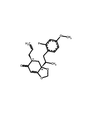 C=CC[C@H]1C[C@]2(C(C)Cc3ccc(OC)cc3F)OCOC2=CC1=O